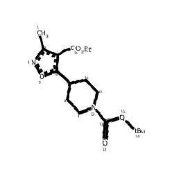 CCOC(=O)c1c(C)noc1C1CCN(C(=O)OC(C)(C)C)CC1